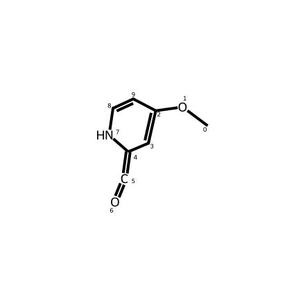 COC1=CC(=C=O)NC=C1